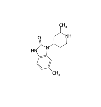 Cc1ccc2[nH]c(=O)n(C3CCNC(C)C3)c2c1